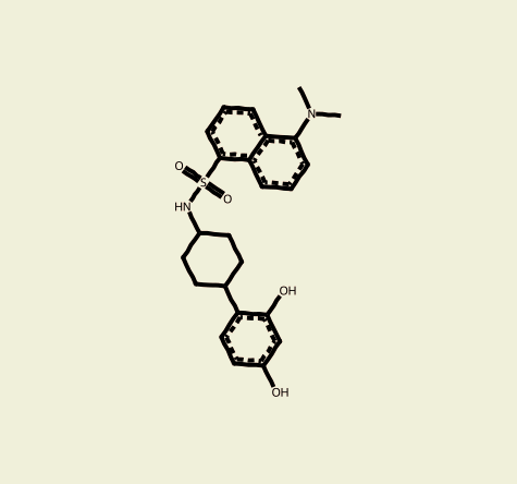 CN(C)c1cccc2c(S(=O)(=O)NC3CCC(c4ccc(O)cc4O)CC3)cccc12